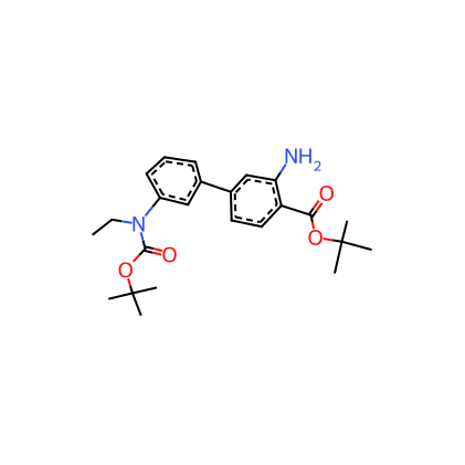 CCN(C(=O)OC(C)(C)C)c1cccc(-c2ccc(C(=O)OC(C)(C)C)c(N)c2)c1